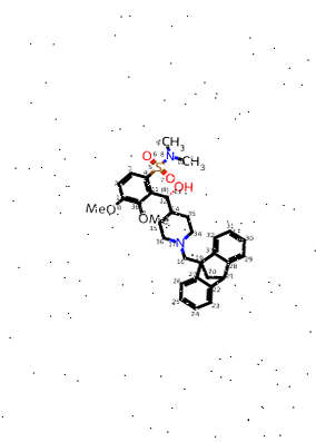 COc1ccc(S(=O)(=O)N(C)C)c([C@H](O)C2CCN(CC34CC(c5ccccc53)c3ccccc34)CC2)c1OC